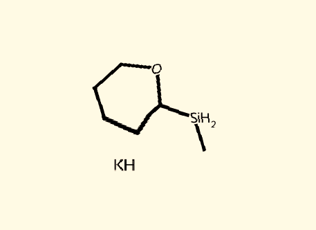 C[SiH2]C1CCCCO1.[KH]